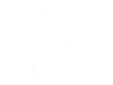 NC(=O)Cc1cc(S(=O)(=O)O)cc2cc(S(=O)(=O)O)cc(O)c12